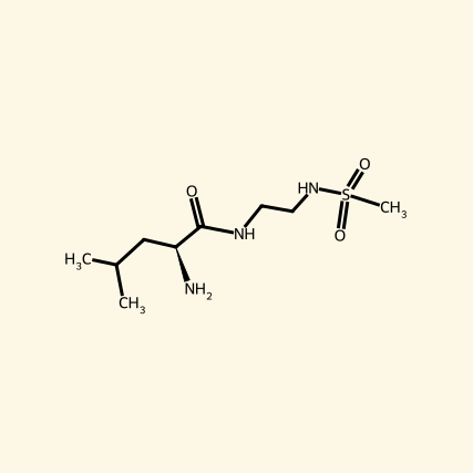 CC(C)C[C@H](N)C(=O)NCCNS(C)(=O)=O